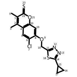 Cc1c(C)c2cc(Cl)c(OCc3nnc(C4CC4)s3)cc2oc1=S